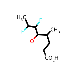 CC(F)C(F)C([O])C(C)CCC(=O)O